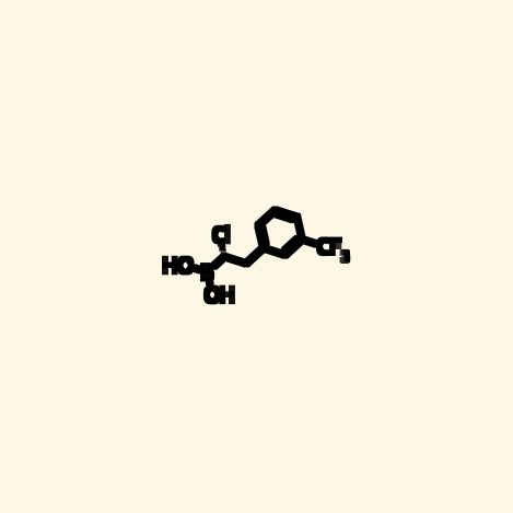 OB(O)[C@H](Cl)Cc1cccc(C(F)(F)F)c1